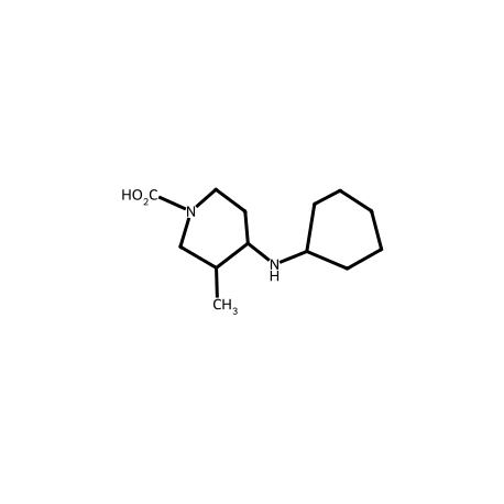 CC1CN(C(=O)O)CCC1NC1CCCCC1